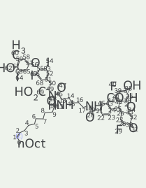 CCCCCCCC/C=C\CCCCCCCC(=O)NC(CCCCNC(=O)c1ccc(-c2c3cc(F)c(=O)cc-3oc3cc(O)c(F)cc23)c(C(=O)O)c1)C(=O)NC(Cc1cc(I)c(Oc2cc(C)c(O)c(I)c2)c(I)c1)C(=O)O